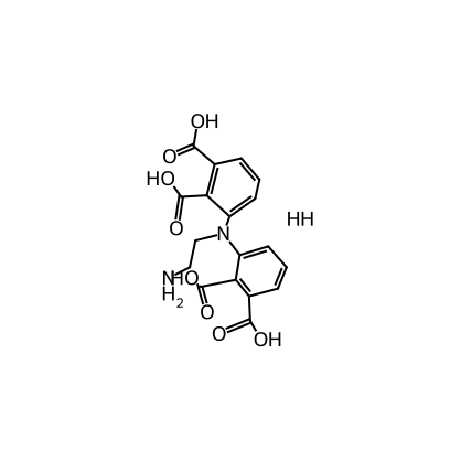 NCCN(c1cccc(C(=O)O)c1C(=O)O)c1cccc(C(=O)O)c1C(=O)O.[HH]